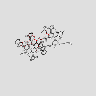 CC(C)C[C@H](NC(=O)[C@H](CCCCN)NC(=O)OCC1c2ccccc2-c2ccccc21)C(=O)N[C@@H](Cc1c[nH]cn1)C(=O)N[C@@H](CCC(=O)O)C(=O)N[C@@H](CC(C)C)C(=O)N[C@@H](CC(C)C)C(=O)N[C@@H](Cc1c[nH]cn1)C(=O)N[C@@H](CC(C)C)C(=O)N[C@@H](CC(C)C)C(=O)N[C@@H](Cc1c[nH]cn1)C(=O)N[C@@H](Cc1c[nH]cn1)C(=O)N[C@@H](CC(C)C)C(=O)N[C@@H](Cc1c[nH]cn1)C(=O)N[C@@H](Cc1c[nH]c2ccccc12)C(=O)O